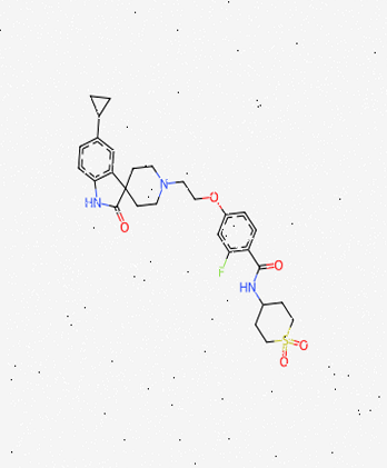 O=C(NC1CCS(=O)(=O)CC1)c1ccc(OCCN2CCC3(CC2)C(=O)Nc2ccc(C4CC4)cc23)cc1F